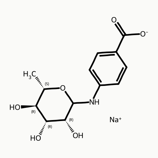 C[C@@H]1OC(Nc2ccc(C(=O)[O-])cc2)[C@H](O)[C@H](O)[C@H]1O.[Na+]